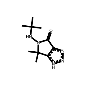 CC(C)(C)NN1C(=O)c2nn[nH]c2C1(C)C